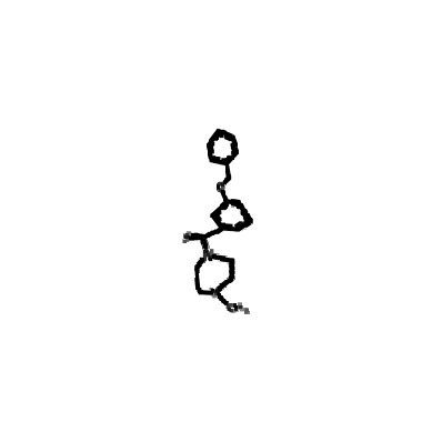 CN1CCN(C(=S)c2cccc(OCc3ccccc3)c2)CC1